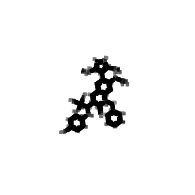 COc1cc2c(cc1-c1c(C)noc1C)cc(C(Oc1ccc(F)cc1)C(F)(F)F)c(=O)n2Cc1ccccn1